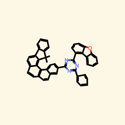 CC1(C)c2ccccc2-c2ccc3ccc4ccc5cc(-c6nc(-c7ccccc7)nc(-c7cccc8oc9ccccc9c78)n6)ccc5c4c3c21